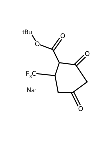 CC(C)(C)OC(=O)C1C(=O)CC(=O)CC1C(F)(F)F.[Na]